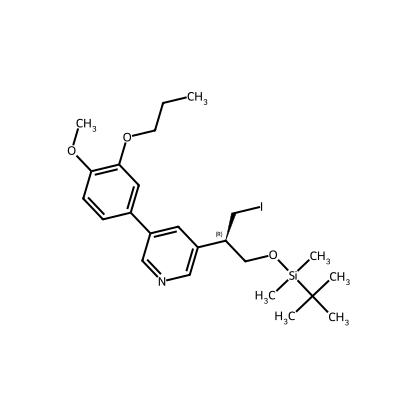 CCCOc1cc(-c2cncc([C@@H](CI)CO[Si](C)(C)C(C)(C)C)c2)ccc1OC